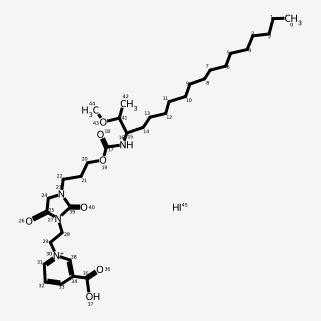 CCCCCCCCCCCCCCCC(NC(=O)OCCCN1CC(=O)N(CC[n+]2cccc(C(=O)O)c2)C1=O)C(C)OC.I